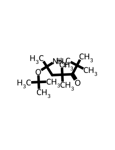 CC(C)(C)OC(C)(N)CC(C)(C)C(=O)C(C)(C)C